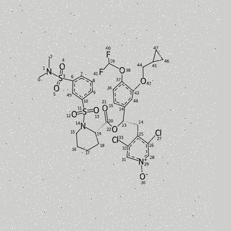 CN(C)S(=O)(=O)c1cccc(S(=O)(=O)N2CCCC[C@H]2C(=O)O[C@@H](Cc2c(Cl)c[n+]([O-])cc2Cl)c2ccc(OC(F)F)c(OCC3CC3)c2)c1